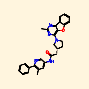 Cc1nc(N2CC[C@H](CC(=O)Nc3cnc(-c4ccccc4)c(C)c3)C2)c2oc3ccccc3c2n1